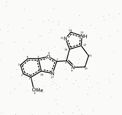 COc1cccc2oc(C3=NCCc4[nH]cnc43)nc12